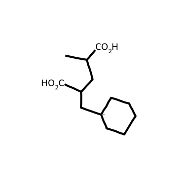 CC(CC(C[C]1CCCCC1)C(=O)O)C(=O)O